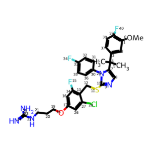 COc1cc(C(C)(C)c2cnc(SCc3c(F)cc(OCCCNC(=N)N)cc3Cl)n2-c2ccc(F)cc2)ccc1F